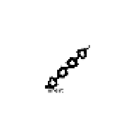 CCCCCC1(C)CCC(c2ccc(-c3ccc(C4CCC(CC)CC4)cc3)cc2)CC1